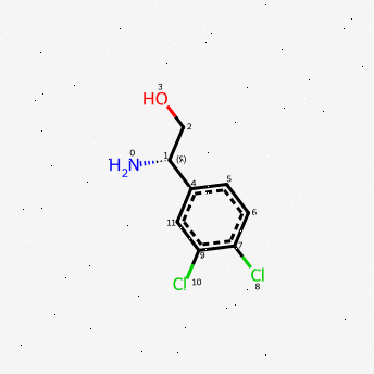 N[C@H](CO)c1ccc(Cl)c(Cl)c1